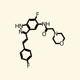 O=C(CN1CCOCC1)Nc1cc2c(C=Cc3ccc(F)cc3)n[nH]c2cc1F